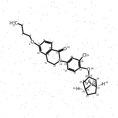 CCCCOc1ccc2c(c1)CCN(c1ccc(O[C@H]3C[C@H]4CC[C@@H](C3)N4C)c(Cl)c1)C2=O